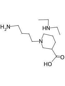 CCNCC.NCCCCN1CCCC(C(=O)O)C1